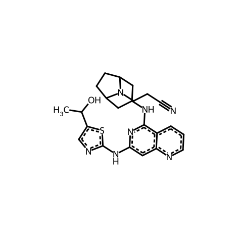 CC(O)c1cnc(Nc2cc3ncccc3c(NC3CC4CCC(C3)N4CCC#N)n2)s1